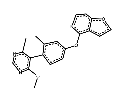 COc1ncnc(C)c1-c1ccc(Oc2nccc3occc23)cc1C